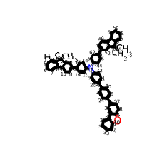 CC1(C)c2ccccc2-c2ccc(-c3ccc(N(c4ccc(-c5ccc(C6=CCC7Oc8ccccc8C7=C6)cc5)cc4)c4ccc(-c5ccc6c(c5)C(C)(C)c5ccccc5-6)cc4)cc3)cc21